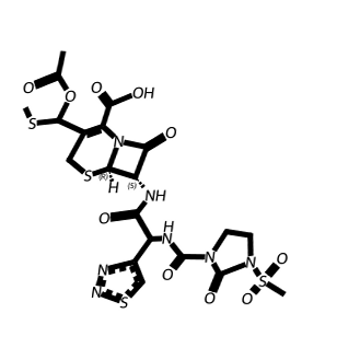 CSC(OC(C)=O)C1=C(C(=O)O)N2C(=O)[C@H](NC(=O)C(NC(=O)N3CCN(S(C)(=O)=O)C3=O)c3csnn3)[C@H]2SC1